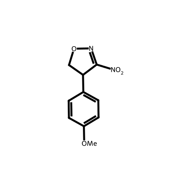 COc1ccc(C2CON=C2[N+](=O)[O-])cc1